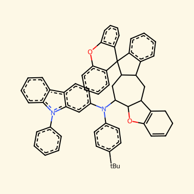 CC(C)(C)c1ccc(N(c2ccc3c4ccccc4n(-c4ccccc4)c3c2)C2CC3C(CC4C5=C(C=CCC5)OC42)c2ccccc2C32c3ccccc3Oc3ccccc32)cc1